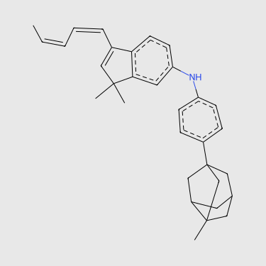 C/C=C\C=C/C1=CC(C)(C)c2cc(Nc3ccc(C45CC6CC(C4)C(C)(C6)C5)cc3)ccc21